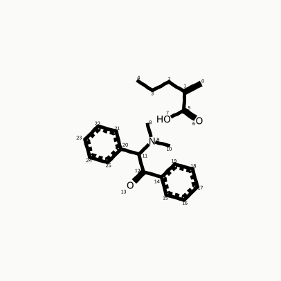 C=C(CCC)C(=O)O.CN(C)C(C(=O)c1ccccc1)c1ccccc1